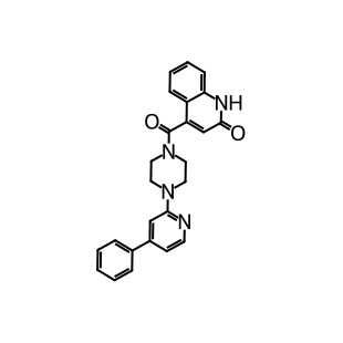 O=C(c1cc(=O)[nH]c2ccccc12)N1CCN(c2cc(-c3ccccc3)ccn2)CC1